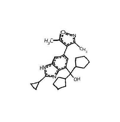 Cc1noc(C)c1-c1cc(C(O)(C2CCCC2)C2CCCC2)c2nc(C3CC3)[nH]c2c1